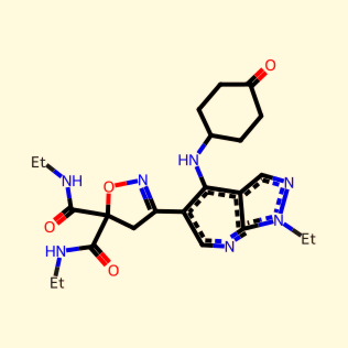 CCNC(=O)C1(C(=O)NCC)CC(c2cnc3c(cnn3CC)c2NC2CCC(=O)CC2)=NO1